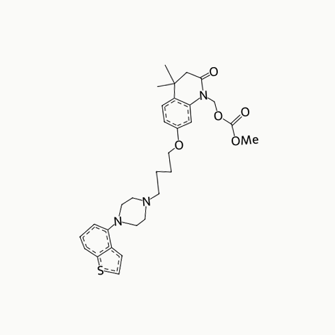 COC(=O)OCN1C(=O)CC(C)(C)c2ccc(OCCCCN3CCN(c4cccc5sccc45)CC3)cc21